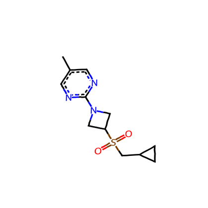 Cc1cnc(N2CC(S(=O)(=O)CC3CC3)C2)nc1